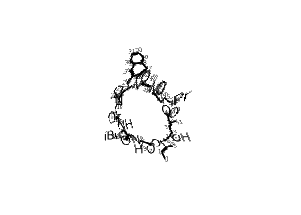 C/C=C(\C)[C@H]1OC(=O)[C@@H](C)NC(=O)C(C(C)CC)NC(=O)CN(C)C(=O)[C@@H](Cc2ccc3ccccc3c2)N(C)C(=O)[C@H](C)NC(=O)[C@@H](CC(C)C)OC(=O)/C(C)=C/C[C@H](O)[C@@H]1C